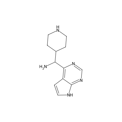 NC(c1ncnc2[nH]ccc12)C1CCNCC1